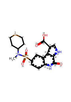 CN(C1CCSCC1)S(=O)(=O)c1ccc2[nH]c(=O)c3[nH]cc(C(=O)O)c3c2c1